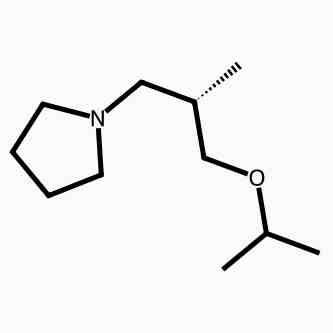 CC(C)OC[C@@H](C)CN1CCCC1